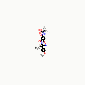 COc1ccc(-c2c(C)sc(N3C(=O)c4ccc(C(=O)NC(C(=O)O)C(C)C)cc4C3=O)c2C#N)cc1